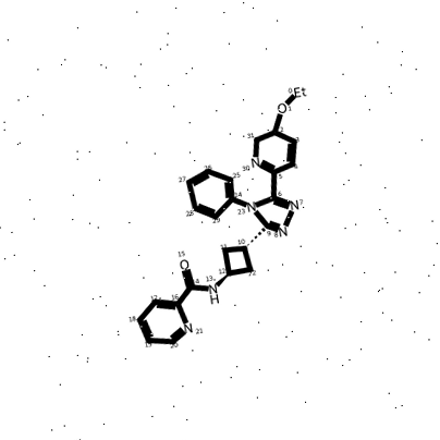 CCOC1C=CC(c2nnc([C@H]3C[C@H](NC(=O)c4ccccn4)C3)n2-c2ccccc2)=NC1